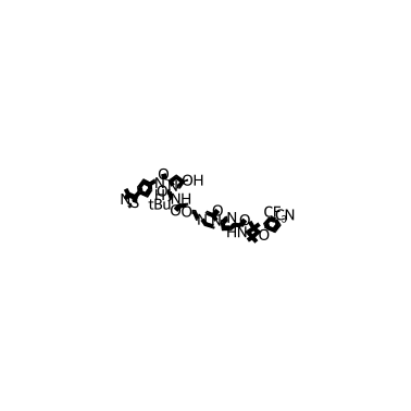 Cc1ncsc1-c1ccc(CNC(=O)[C@@H]2C[C@@H](O)CN2C(=O)[C@@H](NC(=O)COCCN2CCN(c3ccc(C(=O)N[C@H]4C(C)(C)[C@H](Oc5ccc(C#N)c(C(F)(F)F)c5)C4(C)C)nc3)C(=O)C2)C(C)(C)C)cc1